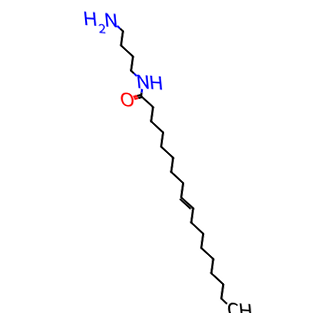 CCCCCCCCC=CCCCCCCCC(=O)NCCCCN